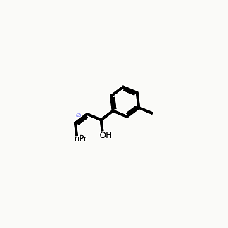 CCC/C=C\C(O)c1cccc(C)c1